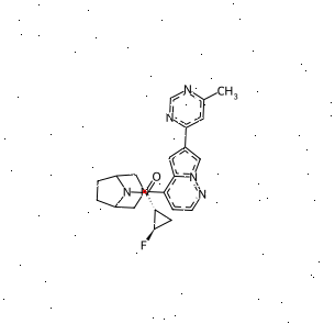 Cc1cc(-c2cc3c(N4CC5CCC(C4)N5C(=O)[C@@H]4C[C@H]4F)ccnn3c2)ncn1